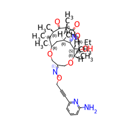 CC[C@H]1OC(=O)[C@H](C)C(=O)[C@H](C)[C@@H](C)[C@@]2(C)C[C@@H](C)/C(=N\C(C)=O)[C@H](C)[C@@H](OC/C(=N\OCC#Cc3cccc(N)n3)CO2)[C@]1(C)O